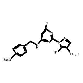 CCOC(=O)c1cnn(-c2nc(Cl)cc(NCc3ccc(OC)cc3)n2)c1C(C)C